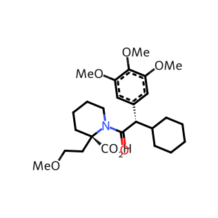 COCC[C@]1(C(=O)O)CCCCN1C(=O)[C@H](c1cc(OC)c(OC)c(OC)c1)C1CCCCC1